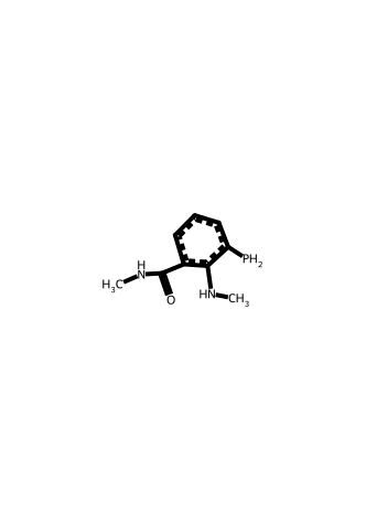 CNC(=O)c1cccc(P)c1NC